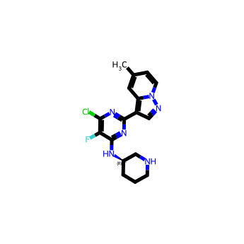 Cc1ccn2ncc(-c3nc(Cl)c(F)c(N[C@@H]4CCCNC4)n3)c2c1